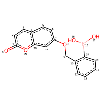 O=c1ccc2ccc(OCc3ccccc3B(O)O)cc2o1